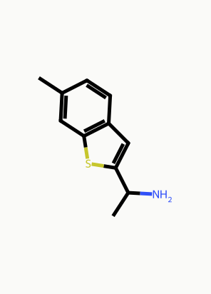 Cc1ccc2cc(C(C)N)sc2c1